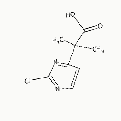 CC(C)(C(=O)O)c1ccnc(Cl)n1